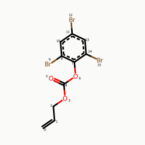 C=CCOC(=O)Oc1c(Br)cc(Br)cc1Br